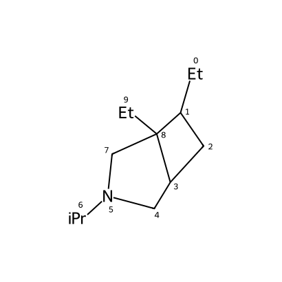 CCC1CC2CN(C(C)C)CC12CC